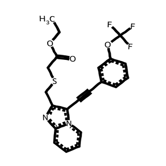 CCOC(=O)CSCc1nc2ccccn2c1C#Cc1cccc(OC(F)(F)F)c1